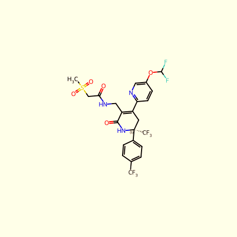 CS(=O)(=O)CC(=O)NCC1=C(c2ccc(OC(F)F)cn2)C[C@](c2ccc(C(F)(F)F)cc2)(C(F)(F)F)NC1=O